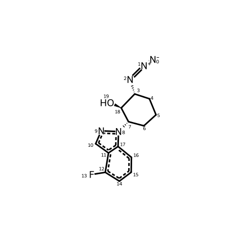 [N-]=[N+]=N[C@@H]1CCC[C@H](n2ncc3c(F)cccc32)[C@H]1O